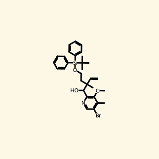 C=CC(C)(CCO[Si](c1ccccc1)(c1ccccc1)C(C)(C)C)C(O)c1ncc(Br)c(C)c1OC